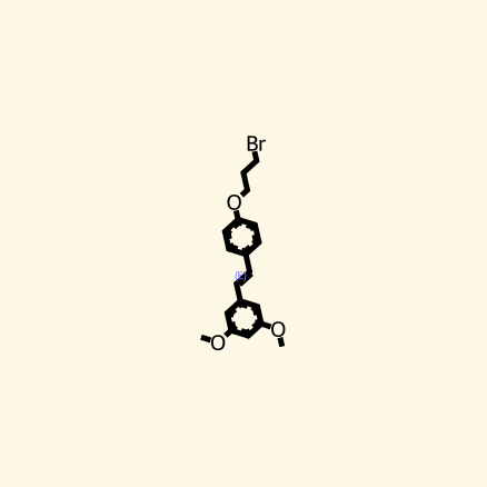 COc1cc(/C=C/c2ccc(OCCCBr)cc2)cc(OC)c1